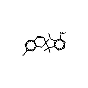 COc1cccc2c1N(C)C1(C=Cc3ccc(Cl)cc3O1)C2(C)C